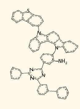 Nc1cc(-c2nc(-c3ccccc3)nc(-c3cccc(-c4ccccc4)c3)n2)ccc1-n1c2ccccc2c2ccc3c(c4ccccc4n3-c3ccc4sc5ccccc5c4c3)c21